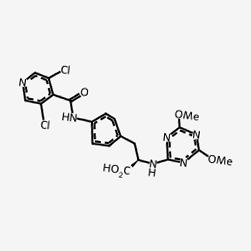 COc1nc(N[C@H](Cc2ccc(NC(=O)c3c(Cl)cncc3Cl)cc2)C(=O)O)nc(OC)n1